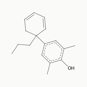 CCCC1(c2cc(C)c(O)c(C)c2)C=CC=CC1